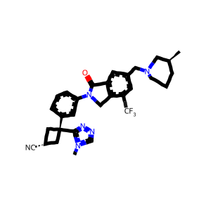 C[C@H]1CCCN(Cc2cc3c(c(C(F)(F)F)c2)CN(c2cccc([C@]4(c5nncn5C)C[C@@H](C#N)C4)c2)C3=O)C1